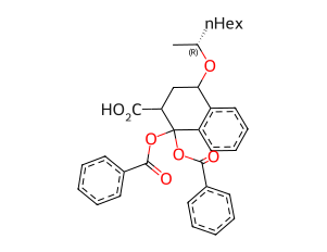 CCCCCC[C@@H](C)OC1CC(C(=O)O)C(OC(=O)c2ccccc2)(OC(=O)c2ccccc2)c2ccccc21